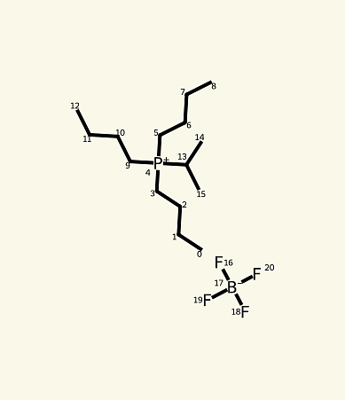 CCCC[P+](CCCC)(CCCC)C(C)C.F[B-](F)(F)F